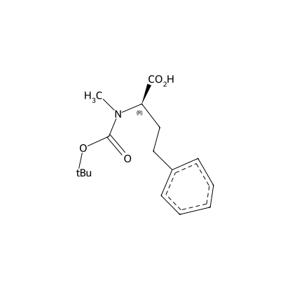 CN(C(=O)OC(C)(C)C)[C@H](CCc1ccccc1)C(=O)O